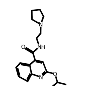 CC(C)Oc1cc(C(=O)NCCN2CCCC2)c2ccccc2n1